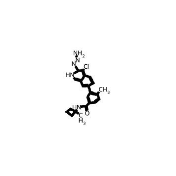 Cc1ccc(C(=O)NC2(C)CCC2)cc1-c1ccc2c(c1)=CNC(N=NN)C=2Cl